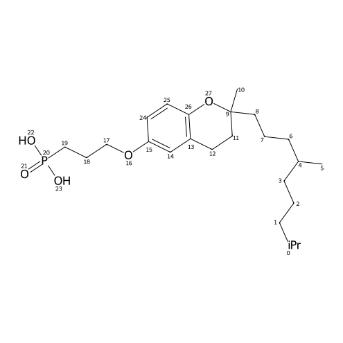 CC(C)CCCC(C)CCCC1(C)CCc2cc(OCCCP(=O)(O)O)ccc2O1